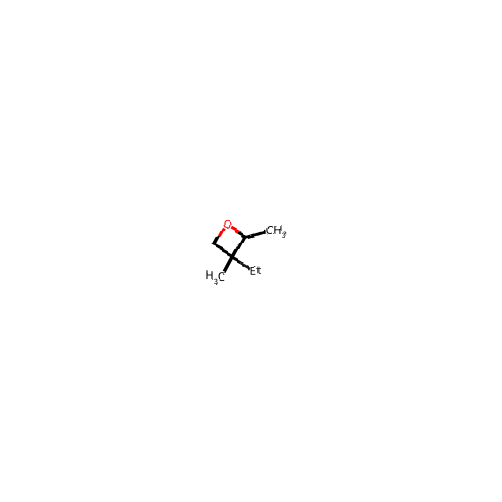 CCC1(C)COC1C